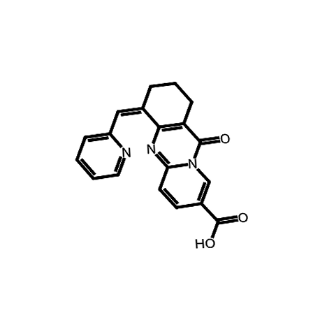 O=C(O)c1ccc2nc3c(c(=O)n2c1)CCC/C3=C/c1ccccn1